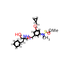 COOSN(C)c1cc(COCC(N)(CO)Cc2ccccc2)cc(OCC2CC2)c1